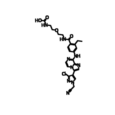 CCc1cc(Nc2nccn3c(-c4cn(CC#N)nc4Cl)cnc23)ccc1C(=O)NCCOCCNC(=O)O